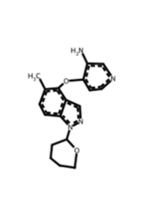 Cc1ccc2c(cnn2C2CCCCO2)c1Oc1ccncc1N